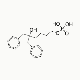 O=P(O)(O)OCCCCC(O)(Cc1ccccc1)Cc1ccccc1